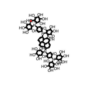 Oc1c(O)c(O)c(N(c2ccc(N(c3c(O)c(O)c(O)c(O)c3O)c3ccc4ccc5c(N(c6ccc(N(c7c(O)c(O)c(O)c(O)c7O)c7c(O)c(O)c(O)c(O)c7O)cc6)c6c(O)c(O)c(O)c(O)c6O)ccc6ccc3c4c65)cc2)c2c(O)c(O)c(O)c(O)c2O)c(O)c1O